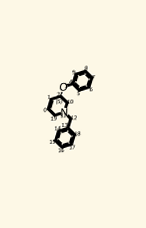 C1=C[C@H](Oc2ccccc2)CN(Cc2ccccc2)C1